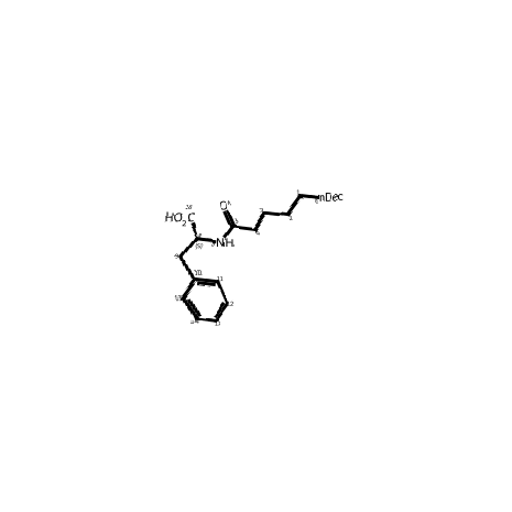 CCCCCCCCCCCCCCC(=O)N[C@@H](Cc1ccccc1)C(=O)O